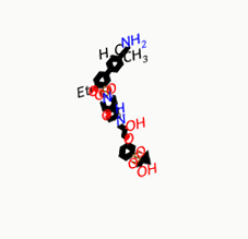 CCOc1ccc(-c2ccc(C(C)(C)CN)cc2)cc1S(=O)(=O)N1CCC2(CC1)C[C@@H](NCC(O)COc1cccc(S(=O)(=O)C3(CO)CC3)c1)CO2